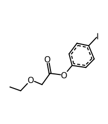 CCOCC(=O)Oc1ccc(I)cc1